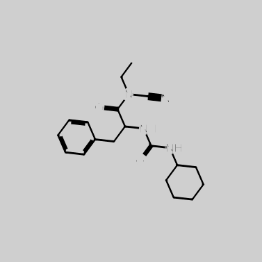 CCN(C#N)C(=O)C(Cc1ccccc1)NC(=O)NC1CCCCC1